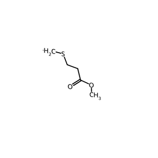 [CH2]SCCC(=O)OC